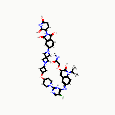 CNC(=O)COc1cc2cc(Nc3nc(N4CCC(OC5CC(N6CC7(CN(c8ccc9c(c8)C(=O)N(C8CCC(=O)NC8=O)C9=O)C7)C6)C5)CC4)ncc3Cl)ccc2n(C(C)C)c1=O